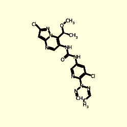 C=NN(/N=C\C)c1ncc(NC(=O)Nc2cnc3cc(Cl)nn3c2[C@H](C)OC)cc1Cl